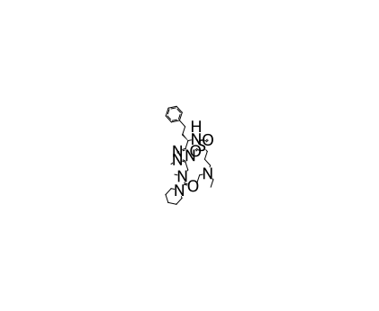 CCN(CC)CCCS(=O)(=O)N[C@H](CCc1ccccc1)c1nc(CN(C)C(=O)N2CCCCC2)n(C)n1